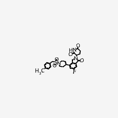 Cc1ccc(CS(=O)(=O)N2CCC(c3cc(F)cc4c3CN(C3CCC(=O)NC3=O)C4=O)CC2)cc1